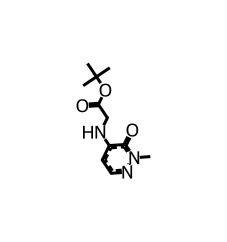 Cn1nccc(NCC(=O)OC(C)(C)C)c1=O